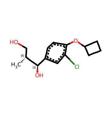 C[C@H](CO)[C@H](O)c1ccc(OC2CCC2)c(Cl)c1